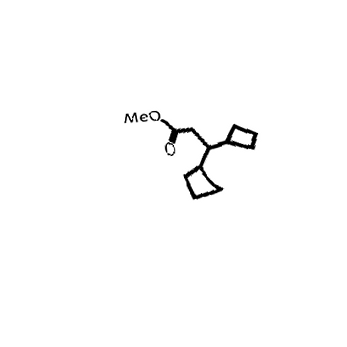 COC(=O)CC(C1CCC1)C1CCC1